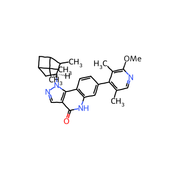 COc1ncc(C)c(-c2ccc3c(c2)[nH]c(=O)c2cnn([C@H]4CC5CC(C4C)C5(C)C)c23)c1C